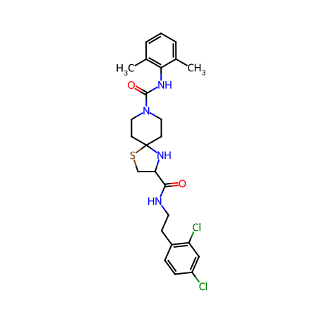 Cc1cccc(C)c1NC(=O)N1CCC2(CC1)NC(C(=O)NCCc1ccc(Cl)cc1Cl)CS2